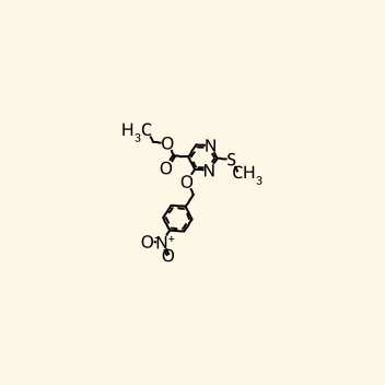 CCOC(=O)c1cnc(SC)nc1OCc1ccc([N+](=O)[O-])cc1